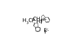 CP(C)C1=Cc2ccccc2[CH]1[Hf+2][CH]1CCC2C=CC=CC21.[F-].[F-]